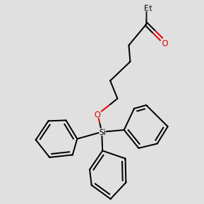 CCC(=O)CCCCO[Si](c1ccccc1)(c1ccccc1)c1ccccc1